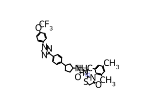 Cc1cc(C)c(N2C(=O)CS/C2=N\C(=O)NC2CCC(c3ccc(-c4ncn(-c5ccc(OC(F)(F)F)cc5)n4)cc3)C2)c(C)c1